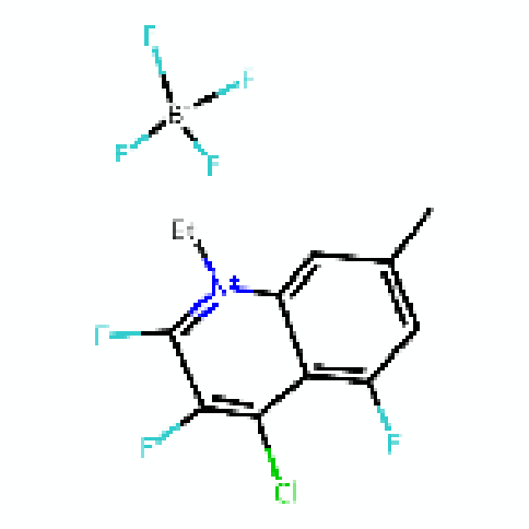 CC[n+]1c(F)c(F)c(Cl)c2c(F)cc(C)cc21.F[B-](F)(F)F